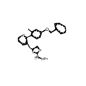 CCCNc1ncc(-c2cccnc2-c2ccc(OCc3ccccc3)cc2C)s1